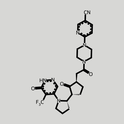 N#Cc1ccc(N2CCN(C(=O)C[C@H]3CC[C@H]([C@@H]4CCCN4c4cn[nH]c(=O)c4C(F)(F)F)C3=O)CC2)nc1